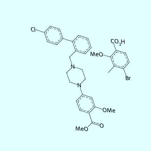 COC(=O)c1ccc(N2CCN(Cc3ccccc3-c3ccc(Cl)cc3)CC2)cc1OC.COc1c(C(=O)O)ccc(Br)c1C